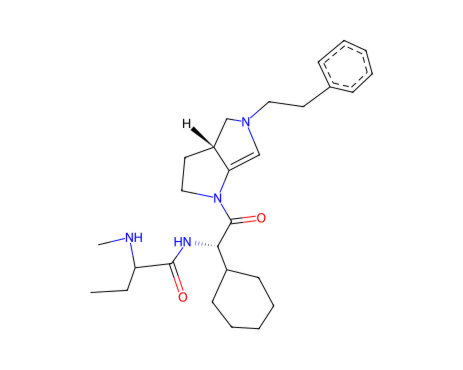 CCC(NC)C(=O)N[C@H](C(=O)N1CC[C@@H]2CN(CCc3ccccc3)C=C21)C1CCCCC1